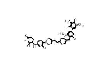 COc1cc(-c2cn(C)c(=O)c(C)c2C)cc(Cl)c1CN1CCC(CCC2CCN(c3ccc(NC4CCC(=O)NC4=O)cc3Cl)CC2)CC1